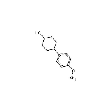 COc1ccc([C]2CCC(O)CC2)cc1